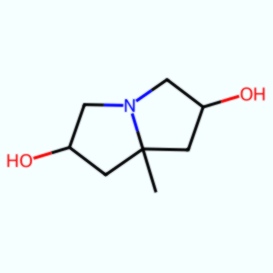 CC12CC(O)CN1CC(O)C2